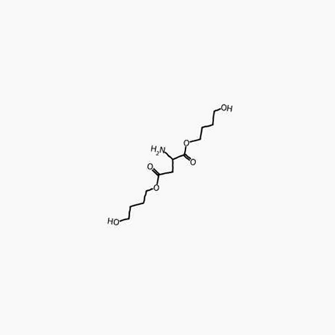 NC(CC(=O)OCCCCO)C(=O)OCCCCO